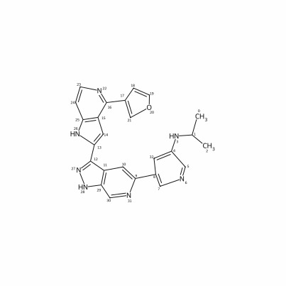 CC(C)Nc1cncc(-c2cc3c(-c4cc5c(-c6ccoc6)nccc5[nH]4)n[nH]c3cn2)c1